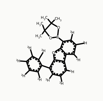 [2H]c1c([2H])c([2H])c(-c2c([2H])c([2H])c([2H])c3c2oc2c(B4OC(C)(C)C(C)(C)O4)c([2H])c([2H])c([2H])c23)c([2H])c1[2H]